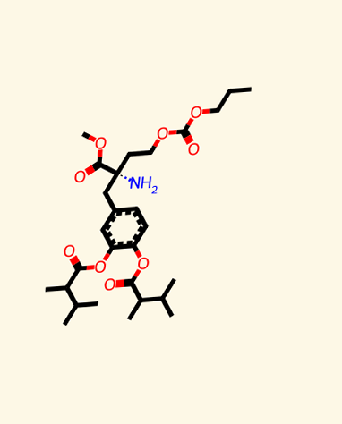 CCCOC(=O)OCC[C@@](N)(Cc1ccc(OC(=O)C(C)C(C)C)c(OC(=O)C(C)C(C)C)c1)C(=O)OC